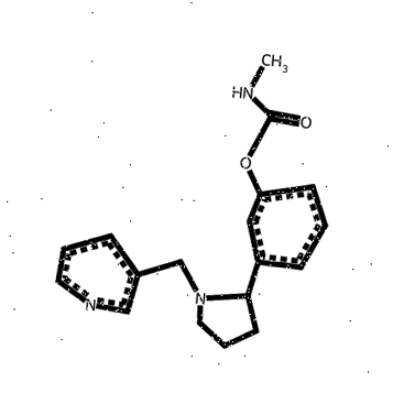 CNC(=O)Oc1cccc(C2CCCN2Cc2cccnc2)c1